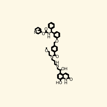 COCCN(CCCNCC(O)c1ccc(O)c2[nH]c(=O)ccc12)C(=O)c1ccc(COc2cccc([C@@H](NC(=O)OC3CN4CCC3CC4)c3ccccc3)c2)cc1